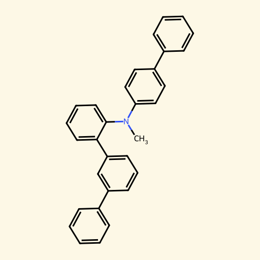 CN(c1ccc(-c2ccccc2)cc1)c1ccccc1-c1cccc(-c2ccccc2)c1